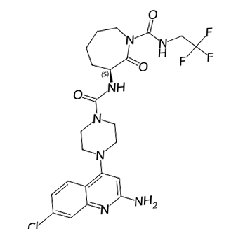 Nc1cc(N2CCN(C(=O)N[C@H]3CCCCN(C(=O)NCC(F)(F)F)C3=O)CC2)c2ccc(Cl)cc2n1